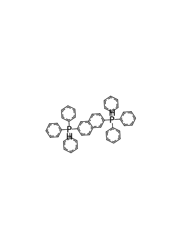 c1ccc([PH](c2ccccc2)(c2ccccc2)c2ccc3cc([PH](c4ccccc4)(c4ccccc4)c4ccccc4)ccc3c2)cc1